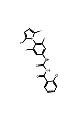 O=C(NC(=O)c1ccccc1Cl)Nc1cc(Cl)c(-n2c(Cl)ccc2Cl)c(Cl)c1